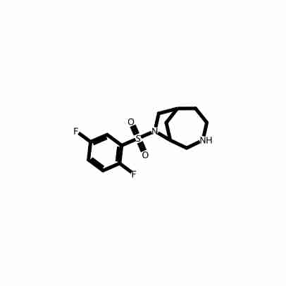 O=S(=O)(c1cc(F)ccc1F)N1CC2CCNCC1C2